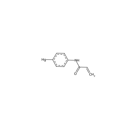 C=CC(=O)Nc1cc[c]([Hg])cc1